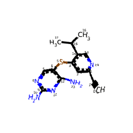 C#Cc1cc(Sc2cnc(N)nc2N)c(C(C)C)cn1